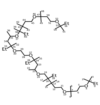 CCC(C)(C)OCCC(C)(C)OCCC(C)(C)C(C)(CC)COC(C)CC(C)(CC)OCCOC(C)(CC)CC(C)OC(C)(CC)C(C)(C)CCOC(C)(C)CCOC(C)(C)CC